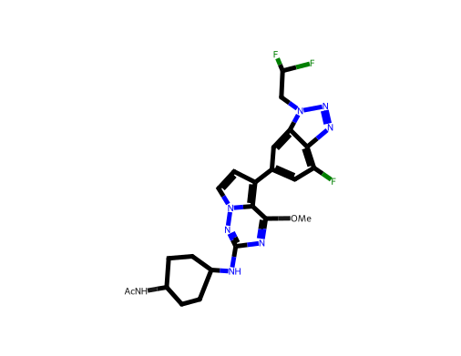 COc1nc(NC2CCC(NC(C)=O)CC2)nn2ccc(-c3cc(F)c4nnn(CC(F)F)c4c3)c12